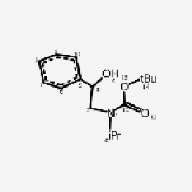 CC(C)N(CC(O)c1ccccc1)C(=O)OC(C)(C)C